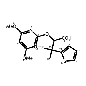 COc1cc(OC)nc(OC(C(=O)O)C(C)(F)c2cccs2)n1